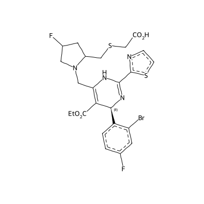 CCOC(=O)C1=C(CN2CC(F)CC2CSCC(=O)O)NC(c2nccs2)=N[C@H]1c1ccc(F)cc1Br